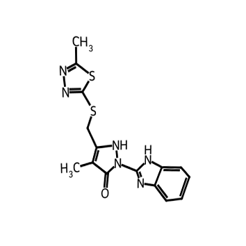 Cc1nnc(SCc2[nH]n(-c3nc4ccccc4[nH]3)c(=O)c2C)s1